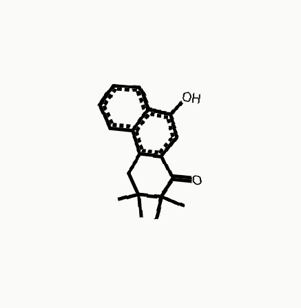 CC1(C)Cc2c(cc(O)c3ccccc23)C(=O)C1(C)C